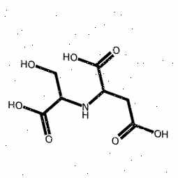 O=C(O)CC(NC(CO)C(=O)O)C(=O)O